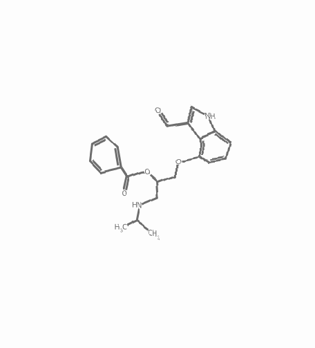 CC(C)NCC(COc1cccc2[nH]cc(C=O)c12)OC(=O)c1ccccc1